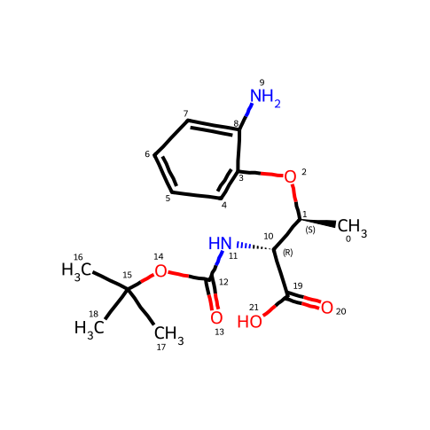 C[C@H](Oc1ccccc1N)[C@@H](NC(=O)OC(C)(C)C)C(=O)O